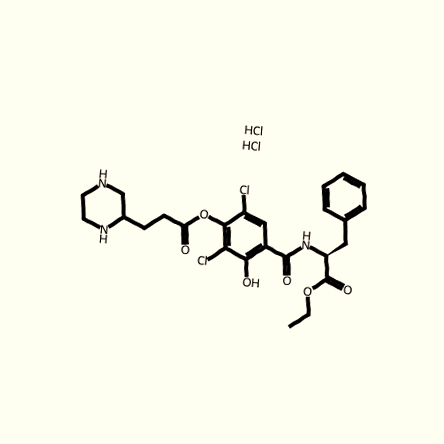 CCOC(=O)[C@H](Cc1ccccc1)NC(=O)c1cc(Cl)c(OC(=O)CCC2CNCCN2)c(Cl)c1O.Cl.Cl